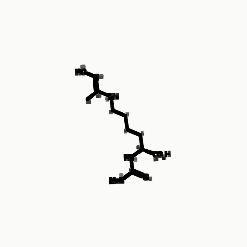 CNC(=O)N[C@@H](CCCCN/C(C)=N/O)C(=O)O